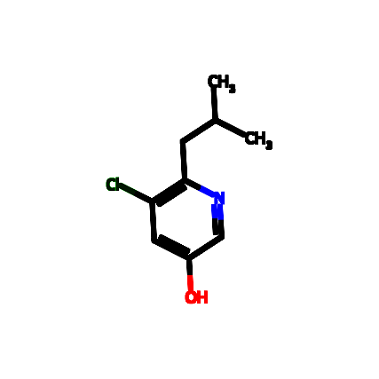 CC(C)Cc1ncc(O)cc1Cl